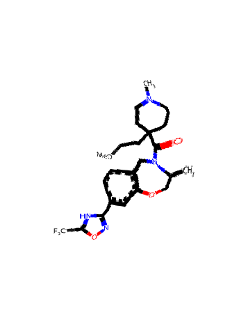 COCCC1(C(=O)N2Cc3ccc(C4=NOC(C(F)(F)F)N4)cc3OCC2C)CCN(C)CC1